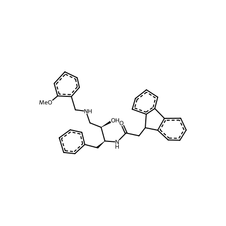 COc1ccccc1CNC[C@@H](O)[C@H](Cc1ccccc1)NC(=O)CC1c2ccccc2-c2ccccc21